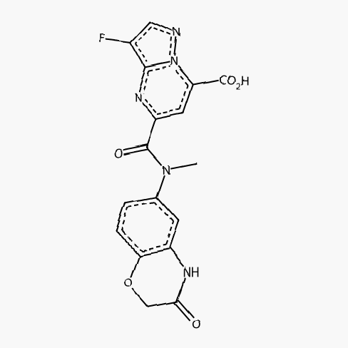 CN(C(=O)c1cc(C(=O)O)n2ncc(F)c2n1)c1ccc2c(c1)NC(=O)CO2